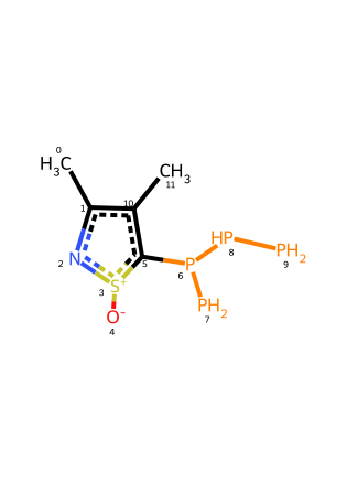 Cc1n[s+]([O-])c(P(P)PP)c1C